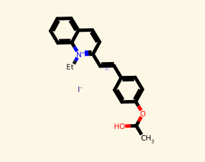 CC[n+]1c(/C=C/c2ccc(OC(C)O)cc2)ccc2ccccc21.[I-]